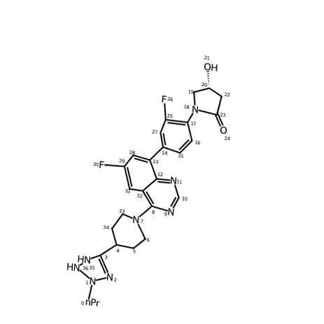 CCCN1N=C(C2CCN(c3ncnc4c(-c5ccc(N6C[C@H](O)CC6=O)c(F)c5)cc(F)cc34)CC2)NN1